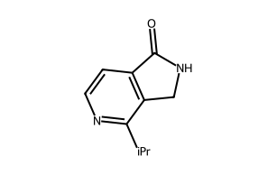 CC(C)c1nccc2c1CNC2=O